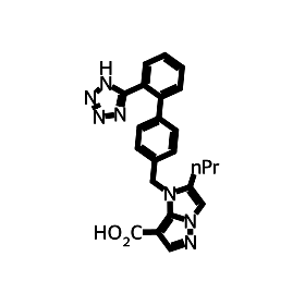 CCCc1cn2ncc(C(=O)O)c2n1Cc1ccc(-c2ccccc2-c2nnn[nH]2)cc1